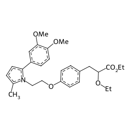 CCOC(=O)C(Cc1ccc(OCCn2c(C)ccc2-c2ccc(OC)c(OC)c2)cc1)OCC